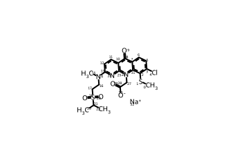 CSc1c(Cl)ccc2c(=O)c3ccc(N(C)CCS(=O)(=O)C(C)C)nc3n(CC(=O)[O-])c12.[Na+]